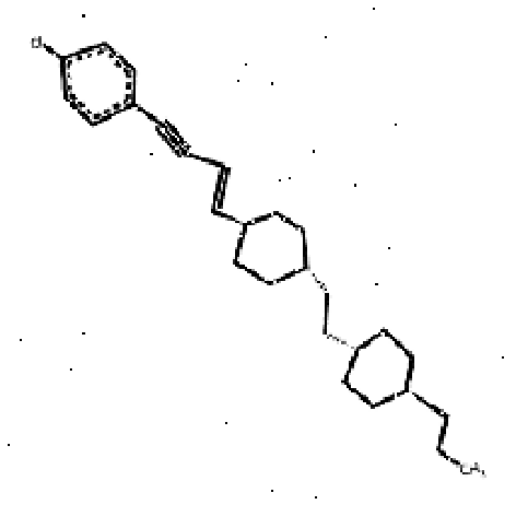 CCC[C@H]1CC[C@H](CC[C@H]2CC[C@H](C=CC#Cc3ccc(Cl)cc3)CC2)CC1